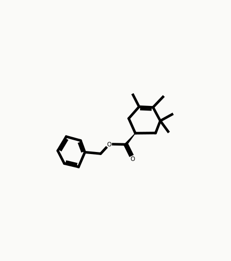 CC1=C(C)C(C)(C)C[C@@H](C(=O)OCc2ccccc2)C1